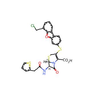 O=C(Cc1cccs1)N[C@@H]1C(=O)N2C(C(=O)O)=C(Sc3ccc4c(c3)oc3c(CCl)cccc34)CS[C@@H]12